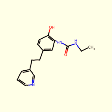 CCNC(=O)Nc1cc(CCc2cccnc2)ccc1O